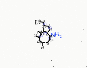 CC\C=C\C=C/C1=C(C)/C(C)=C(/C)CC(C)C/C=C\1N